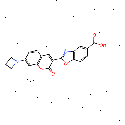 O=C(O)c1ccc2oc(-c3cc4ccc(N5CCC5)cc4oc3=O)nc2c1